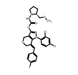 COC[C@@H]1CCCN1NC(=O)Oc1nn(-c2ccc(Cl)cc2Cl)c2c1CSC/C2=C\c1ccc(F)cc1